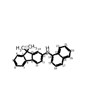 CC1(C)c2ccccc2-c2ccc(Nc3cccc4ccccc34)cc21